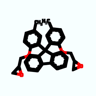 Cc1ccc(OCC2CO2)c(C2(c3cc(C)ccc3OCC3CO3)c3ccccc3-c3ccccc32)c1